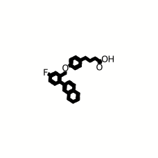 O=C(O)CCCc1ccc(OCc2cc(F)ccc2-c2ccc3c(c2)CCC=C3)cc1